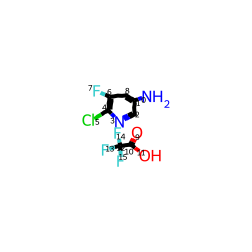 Nc1cnc(Cl)c(F)c1.O=C(O)C(F)(F)F